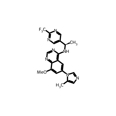 COc1cc(-n2cncc2C)cc2c(N[C@H](C)c3cnc(C(F)(F)F)nc3)ncnc12